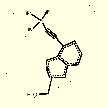 CC(C)[Si](C#Cc1cccc2cc(CC(=O)O)ccc12)(C(C)C)C(C)C